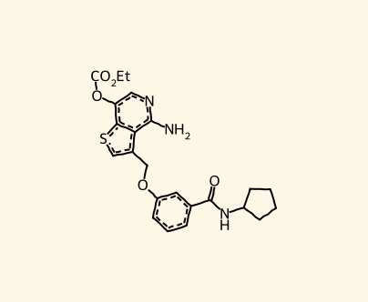 CCOC(=O)Oc1cnc(N)c2c(COc3cccc(C(=O)NC4CCCC4)c3)csc12